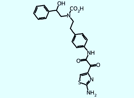 Nc1nc(C(=O)C(=O)Nc2ccc(CCN(CC(O)c3ccccc3)C(=O)O)cc2)cs1